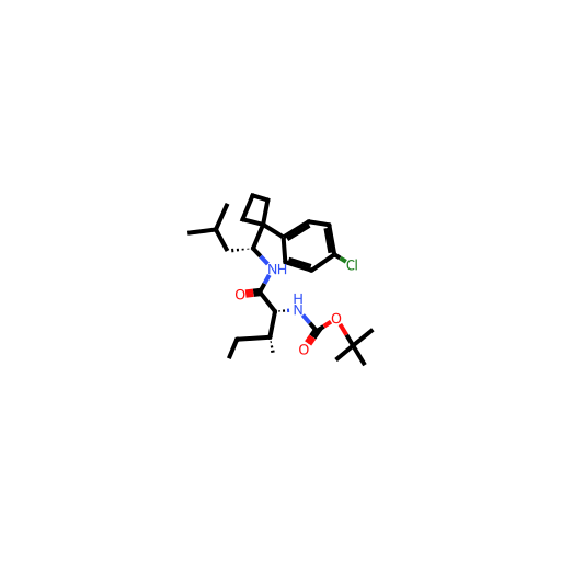 CC[C@@H](C)[C@@H](NC(=O)OC(C)(C)C)C(=O)N[C@H](CC(C)C)C1(c2ccc(Cl)cc2)CCC1